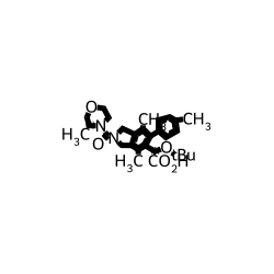 Cc1ccc(-c2c(C)c3c(c(C)c2[C@H](OC(C)(C)C)C(=O)O)CN(C(=O)N2CCOC[C@@H]2C)C3)cc1